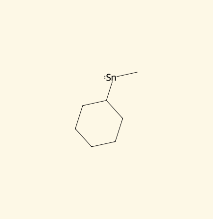 [CH3][Sn][CH]1CCCCC1